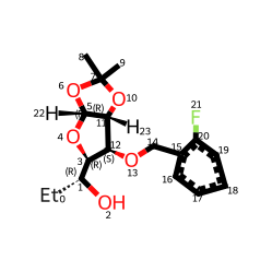 CC[C@@H](O)[C@H]1O[C@@H]2OC(C)(C)O[C@@H]2[C@H]1OCc1ccccc1F